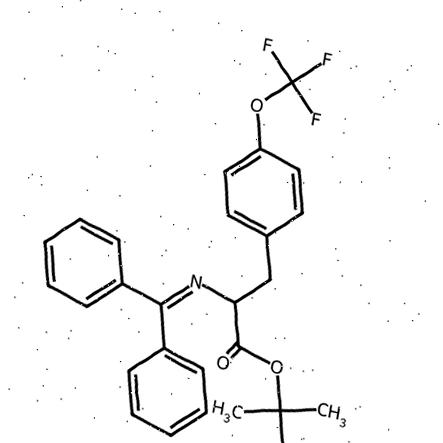 CC(C)(C)OC(=O)C(Cc1ccc(OC(F)(F)F)cc1)N=C(c1ccccc1)c1ccccc1